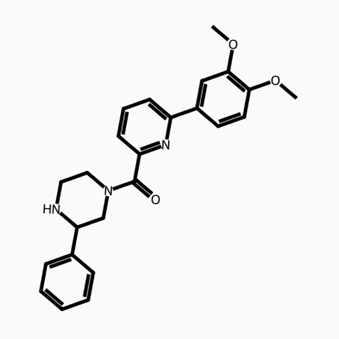 COc1ccc(-c2cccc(C(=O)N3CCNC(c4ccccc4)C3)n2)cc1OC